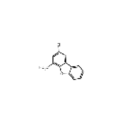 O=C(O)c1cc(Cl)cc2c1oc1ccccc12